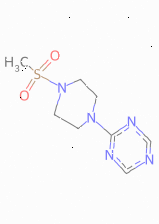 CS(=O)(=O)N1CCN(c2ncncn2)CC1